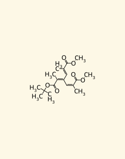 COC(=O)C(C)=CC(C=C(C)C(=O)OC)=C(C)C(=O)OC(C)(C)C